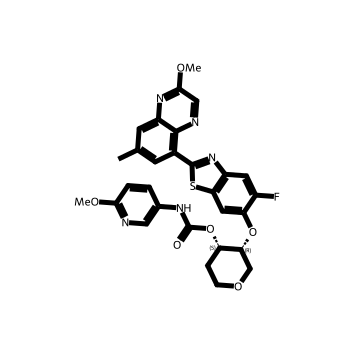 COc1ccc(NC(=O)O[C@H]2CCOC[C@H]2Oc2cc3sc(-c4cc(C)cc5nc(OC)cnc45)nc3cc2F)cn1